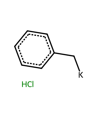 Cl.[K][CH2]c1ccccc1